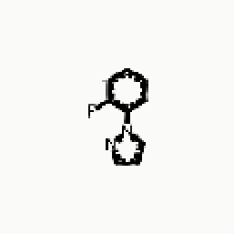 Fc1[c]cccc1-n1cccn1